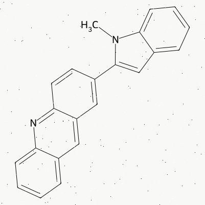 Cn1c(-c2ccc3nc4ccccc4cc3c2)cc2ccccc21